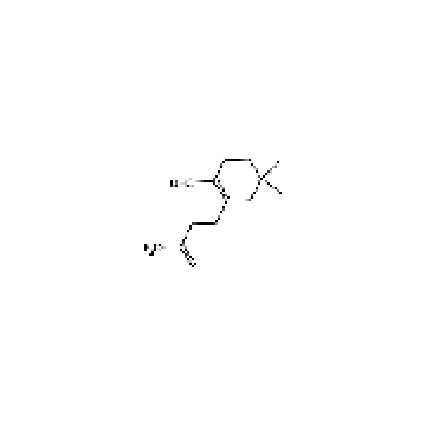 C=C(CCC1=C(C=O)CCC(C)(C)C1)C(F)(F)F